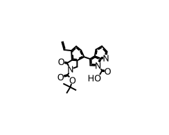 C=Cc1ccc(-c2cn(C(=O)O)c3ncccc23)c2c1C(=O)N(C(=O)OC(C)(C)C)C2